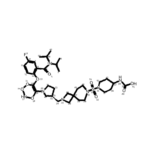 CC(C)N(C(=O)c1cc(F)ccc1Oc1oo[nH]oc1N1CC[C@@H](CN2CC3(CCN(S(=O)(=O)N4CCC(NC(=O)O)CC4)CC3)C2)C1)C(C)C